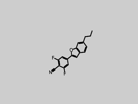 CCCc1ccc2cc(-c3cc(F)c(C#N)c(F)c3)oc2c1